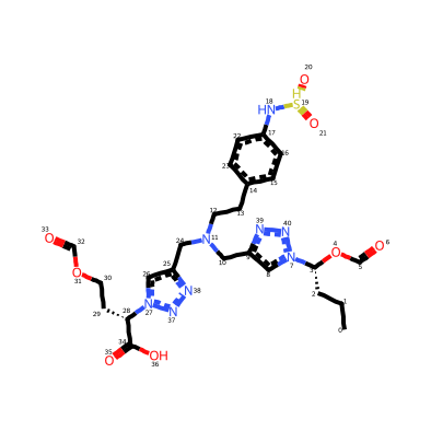 CCC[C@@H](OC=O)n1cc(CN(CCc2ccc(N[SH](=O)=O)cc2)Cc2cn([C@@H](CCOC=O)C(=O)O)nn2)nn1